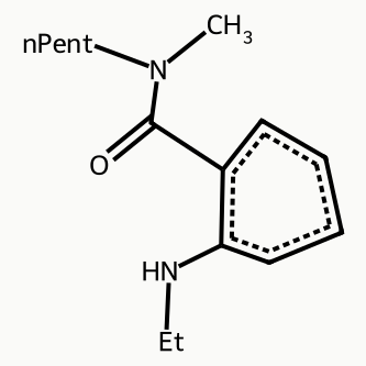 CCCCCN(C)C(=O)c1ccccc1NCC